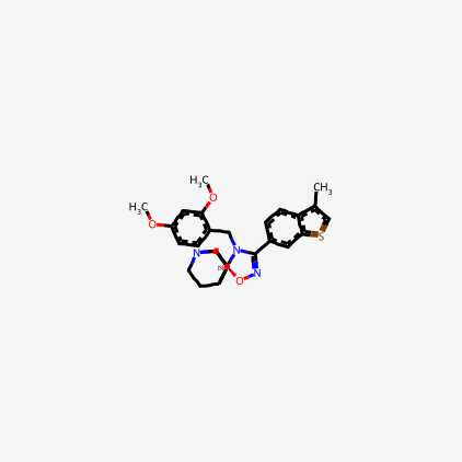 COc1ccc(CN2C(c3ccc4c(C)csc4c3)=NO[C@@]23CN2CCC3CC2)c(OC)c1